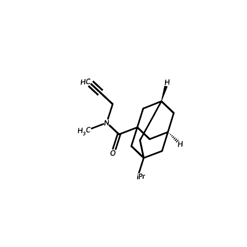 C#CCN(C)C(=O)C12C[C@H]3C[C@@H](C1)CC(C(C)C)(C3)C2